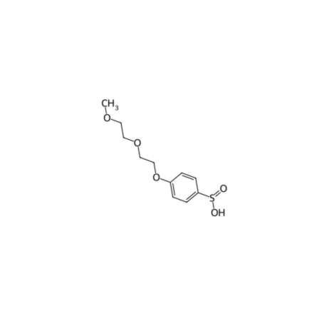 COCCOCCOc1ccc(S(=O)O)cc1